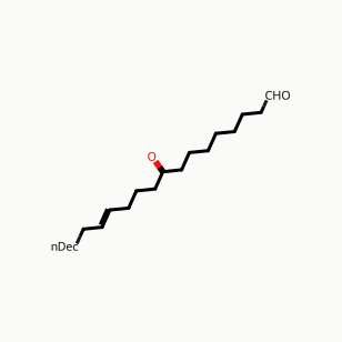 CCCCCCCCCCCC=CCCCC(=O)CCCCCCCC=O